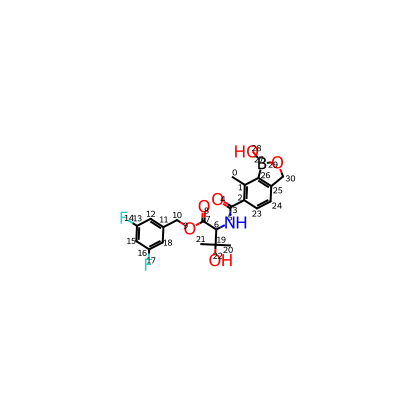 Cc1c(C(=O)NC(C(=O)OCc2cc(F)cc(F)c2)C(C)(C)O)ccc2c1B(O)OC2